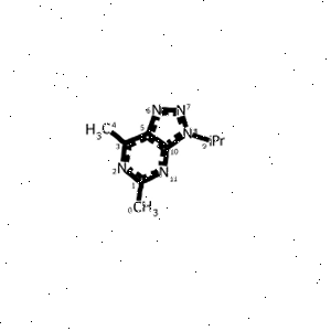 Cc1nc(C)c2nnn(C(C)C)c2n1